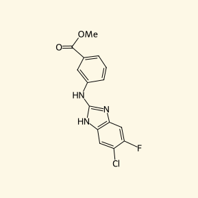 COC(=O)c1cccc(Nc2nc3cc(F)c(Cl)cc3[nH]2)c1